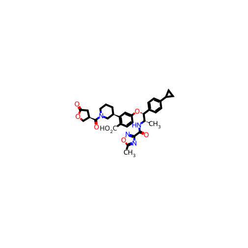 Cc1nc(C(=O)N[C@@H](C)[C@H](Oc2ccc(C(=O)O)c([C@@H]3CCCN(C(=O)[C@H]4COC(=O)C4)C3)c2)c2ccc(C3CC3)cc2)no1